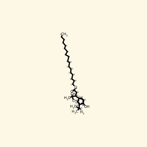 CCCCCCCCCCCCCCCCCCOC(=O)CC(c1ccc(O)c(C(C)(C)C)c1)C(C)(C)C